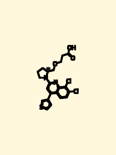 O=C(O)CCOC[C@@H]1CCCN1c1cc(-c2ccsc2)c2ccc(Cl)c(Cl)c2n1